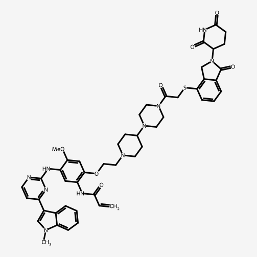 C=CC(=O)Nc1cc(Nc2nccc(-c3cn(C)c4ccccc34)n2)c(OC)cc1OCCN1CCC(N2CCN(C(=O)CSc3cccc4c3CN(C3CCC(=O)NC3=O)C4=O)CC2)CC1